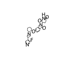 O=C1CCC(N2Cc3cc(O[C@@H]4CCCC[C@@H]4N4CC(c5ccncc5F)C4)ccc3C2=O)C(=O)N1